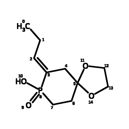 CC/C=C1\CC2(CCP1(=O)O)OCCO2